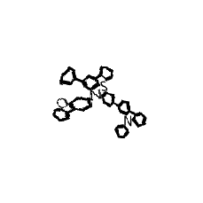 C1=CC(N(c2ccc(-c3ccc4c5ccccc5n(-c5ccccc5)c4c3)cc2)c2cc(-c3ccccc3)cc3c2sc2ccccc23)Cc2oc3ccccc3c21